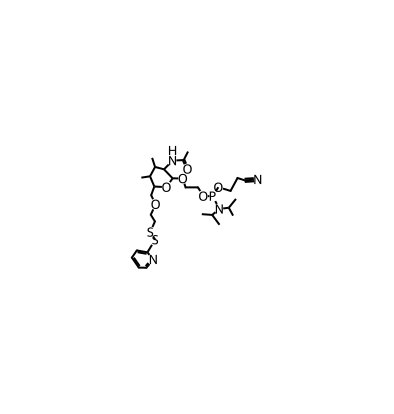 CC(=O)NC1C(OCCOP(OCCC#N)N(C(C)C)C(C)C)OC(COCCSSc2ccccn2)C(C)C1C